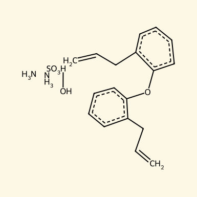 C=CCc1ccccc1Oc1ccccc1CC=C.N.N.O=S(=O)(O)O